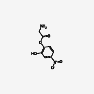 NCC(=O)Oc1ccc([N+](=O)[O-])cc1O